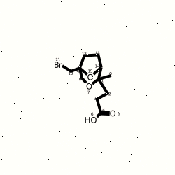 CC1(CCC(=O)O)OCC2(CBr)CCC1O2